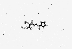 COC(=O)[C@@H](NCCNC1CCCC1)C(C)C